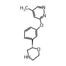 Cc1cnnc(Oc2cccc([C@@H]3CNCCO3)c2)c1